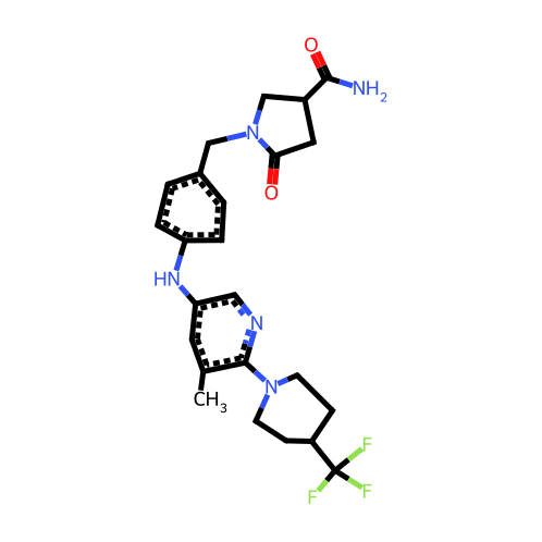 Cc1cc(Nc2ccc(CN3CC(C(N)=O)CC3=O)cc2)cnc1N1CCC(C(F)(F)F)CC1